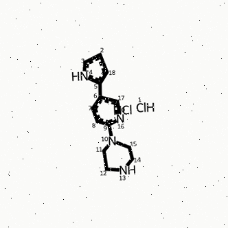 Cl.Cl.c1c[nH]c(-c2ccc(N3CCNCC3)nc2)c1